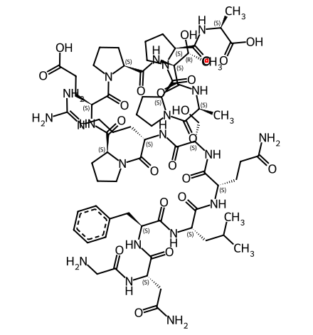 CC(C)C[C@H](NC(=O)[C@H](Cc1ccccc1)NC(=O)[C@H](CC(N)=O)NC(=O)CN)C(=O)N[C@@H](CCC(N)=O)C(=O)N[C@@H](CO)C(=O)N[C@@H](CCCN=C(N)N)C(=O)N1CCC[C@H]1C(=O)N[C@@H](CCC(=O)O)C(=O)N1CCC[C@H]1C(=O)N[C@H](C(=O)N[C@@H](C)C(=O)N1CCC[C@H]1C(=O)N1CCC[C@H]1C(=O)N[C@@H](C)C(=O)O)[C@@H](C)O